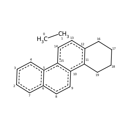 CC.c1ccc2c(c1)ccc1c3c(ccc12)CCCC3